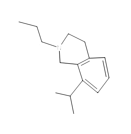 CCCN1CCc2cccc(C(C)C)c2C1